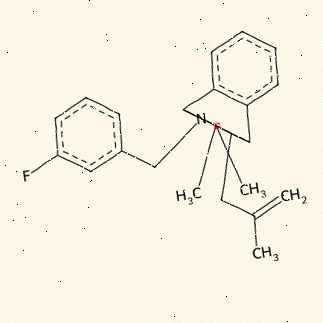 C=C(C)CC1C2c3ccccc3C(CC2(C)C)N1Cc1cccc(F)c1